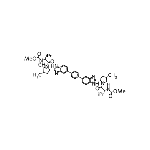 COC(=O)N[C@H](C(=O)N1C[C@@H](C)C[C@H]1c1nc2cc(-c3ccc(-c4ccc5[nH]c([C@@H]6C[C@H](C)CN6C(=O)[C@H](C(C)C)N(C)C(=O)OC)nc5c4)cc3)ccc2[nH]1)C(C)C